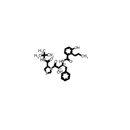 CCCc1c(O)cccc1C(=O)N[C@@H](Cc1ccccc1)[C@H](O)C(=O)N1CSCC1C(=O)NC(C)(C)C